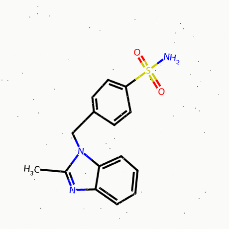 Cc1nc2ccccc2n1Cc1ccc(S(N)(=O)=O)cc1